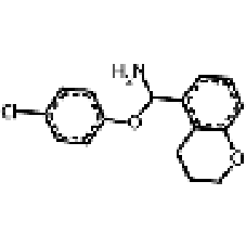 NC(Oc1ccc(Cl)cc1)c1cccc2c1CCCO2